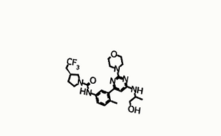 Cc1ccc(NC(=O)N2CC[C@@H](CC(F)(F)F)C2)cc1-c1cc(NC(C)CO)nc(N2CCOCC2)n1